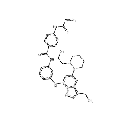 C=CC(=O)Nc1ccc(C(=O)Nc2cccc(Nc3cc(N4CCCCC4CCO)nc4c(CC)cnn34)c2)cc1